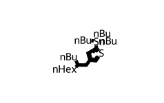 CCCCCCC(CCCC)Cc1cs[c]([Sn]([CH2]CCC)([CH2]CCC)[CH2]CCC)c1